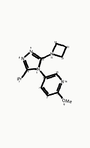 COc1ccc(-n2c(C(C)C)nnc2N2C[CH]C2)cn1